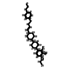 CCCc1ccc(CC/C=C/C2CCC(C3CCC(c4ccc(OCC)c(F)c4F)CC3)CC2)cc1